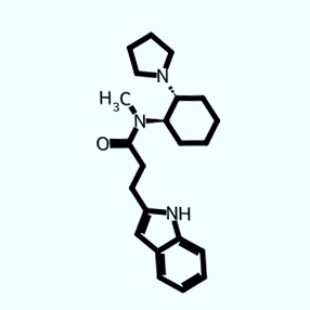 CN(C(=O)CCc1cc2ccccc2[nH]1)[C@@H]1CCCC[C@H]1N1CCCC1